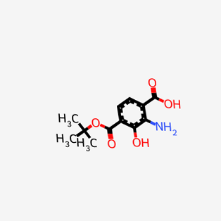 CC(C)(C)OC(=O)c1ccc(C(=O)O)c(N)c1O